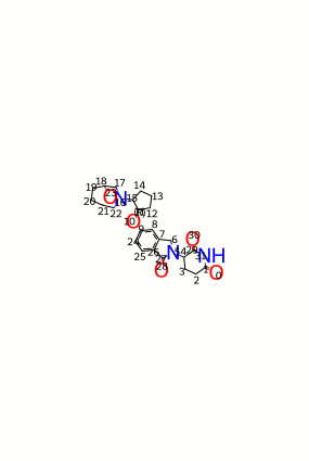 O=C1CCC(N2Cc3cc(O[C@@H]4CCCC4N4CC5CCC(C4)O5)ccc3C2=O)C(=O)N1